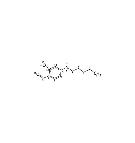 CCCCCNc1ccc(C=O)c(O)c1